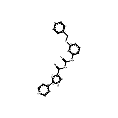 O=C(NC(=S)Nc1cccc(OCc2ccccc2)c1)c1csc(-c2ccncc2)n1